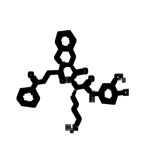 NCCCC[C@H](NC(=O)[C@@H]1Cc2ccccc2CN1C(=O)CCC(=O)c1ccccc1)C(=O)Nc1ccc(Cl)c(C(F)(F)F)c1